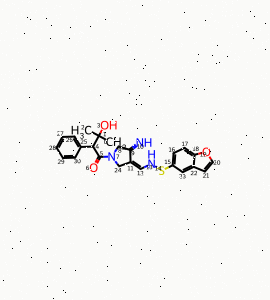 CC(C)(O)C(C(=O)N1CC(=N)/C(=C\NSc2ccc3occc3c2)C1)c1ccccc1